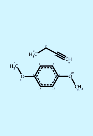 C#CCC.COc1ccc(OC)cc1